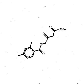 COC(=O)CC(=O)OOC(=O)c1ccc(C)cc1C